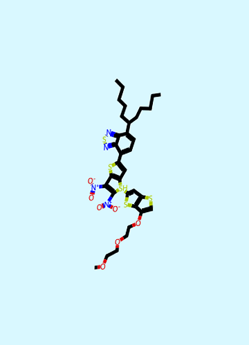 CCCCCC(CCCCC)c1ccc(-c2cc3c(s2)C([N+](=O)[O-])=C([N+](=O)[O-])[SH]3c2cc3scc(OCCOCCOC)c3s2)c2nsnc12